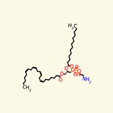 CCCCC/C=C\C/C=C\C/C=C\C/C=C\CCCCCC(=O)OC[C@H](COP(=O)(O)OCCN)OC(=O)CCCCCCCCCCCCC